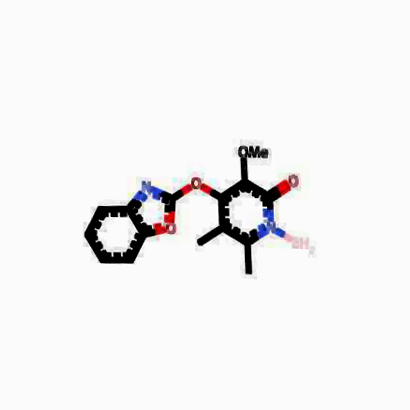 Bn1c(C)c(C)c(Oc2nc3ccccc3o2)c(OC)c1=O